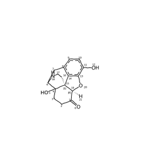 O=C1CCC2(O)C3Cc4ccc(O)c5c4[C@@]2(CCN3)[C@H]1O5